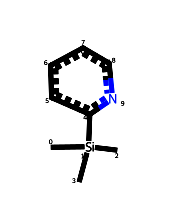 C[Si](C)(C)c1ccc[c]n1